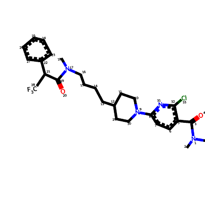 CN(C)C(=O)c1ccc(N2CCC(CCCCN(C)C(=O)C(c3ccccc3)C(F)(F)F)CC2)nc1Cl